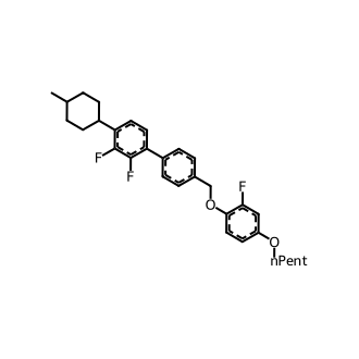 CCCCCOc1ccc(OCc2ccc(-c3ccc(C4CCC(C)CC4)c(F)c3F)cc2)c(F)c1